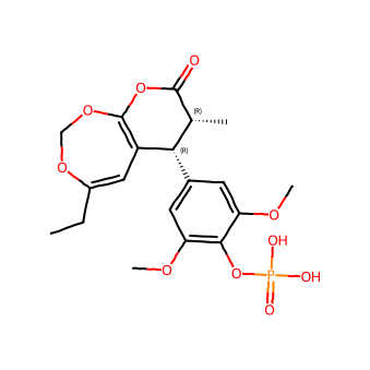 CCC1=CC2=C(OCO1)OC(=O)[C@H](C)[C@@H]2c1cc(OC)c(OP(=O)(O)O)c(OC)c1